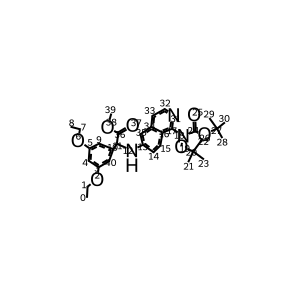 CCOc1cc(OCC)cc(C(Nc2ccc3c(N(OC(C)(C)C)C(=O)OC(C)(C)C)nccc3c2)C(=O)OC)c1